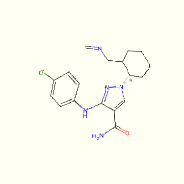 C=NCC1CCCC[C@@H]1n1cc(C(N)=O)c(Nc2ccc(Cl)cc2)n1